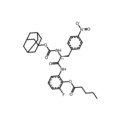 CCCCC(=O)Oc1c(F)cccc1NC(=O)[C@H](Cc1ccc([N+](=O)[O-])cc1)NC(=O)OC12CC3CC(CC(C3)C1)C2